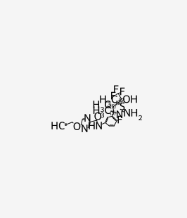 C#CCOc1cnc(C(=O)Nc2ccc(F)c([C@@]3(C)N=C(N)S[C@](C)([C@@H](O)C(F)(F)F)[C@H]3C)c2)cn1